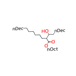 CCCCCCCCCCCCCCCCC(C(=O)OCCCCCCCC)C(O)CCCCCCCCCCC